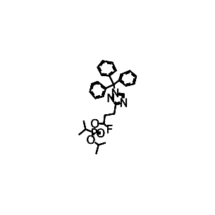 CC(C)OP(=O)(OC(F)CCc1ncn(C(c2ccccc2)(c2ccccc2)c2ccccc2)n1)C(C)C